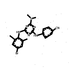 Cc1cc(Br)cc(C)c1Nc1nc(Nc2ccc(C#N)cc2)nc(N(C)C)n1